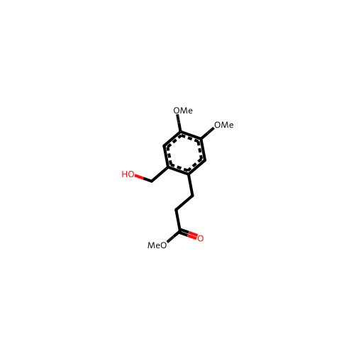 [CH2]Oc1cc(CCC(=O)OC)c(CO)cc1OC